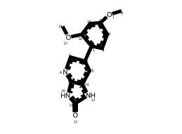 COc1ccc(-c2cnc3[nH]c(=O)[nH]c3c2)c(OC)c1